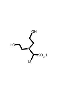 CCC(N(CCO)CCO)S(=O)(=O)O